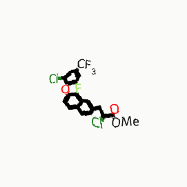 COC(=O)C(Cl)Cc1ccc2ccc(Oc3c(F)cc(C(F)(F)F)cc3Cl)cc2c1